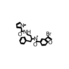 CN(C(=O)c1ccc2occ(Br)c2c1)C(CCNC(=O)c1cccn1C)Cc1ccccc1